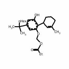 CCCCCCC(C)(C)c1cc(O)c(C2C=C(C)CCC2)c(OCOC(=O)CC)c1